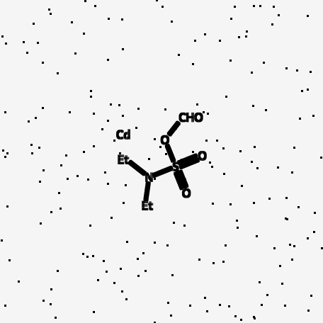 CCN(CC)S(=O)(=O)OC=O.[Cd]